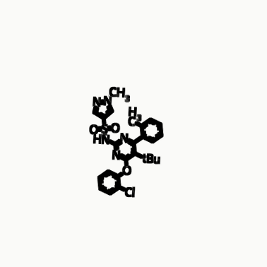 Cc1ccccc1-c1nc(NS(=O)(=O)c2cnn(C)c2)nc(Oc2ccccc2Cl)c1C(C)(C)C